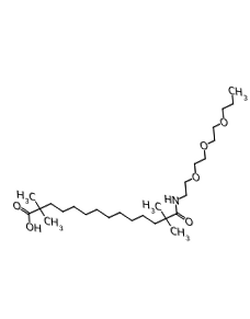 CCCOCCOCCOCCNC(=O)C(C)(C)CCCCCCCCCCC(C)(C)C(=O)O